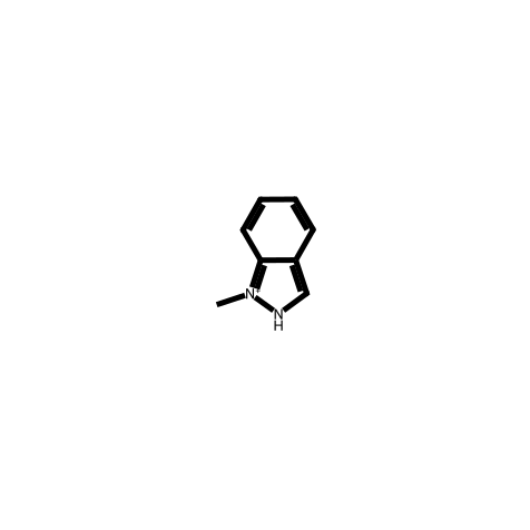 C[n+]1[nH]cc2ccccc21